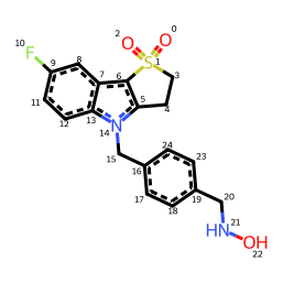 O=S1(=O)CCc2c1c1cc(F)ccc1n2Cc1ccc(CNO)cc1